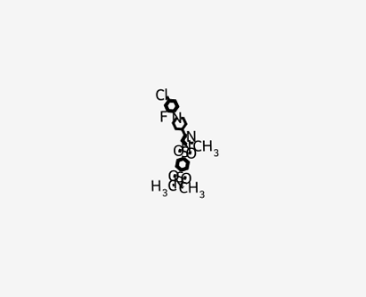 Cc1nc(C2CCN(c3ccc(Cl)cc3F)CC2)cn1S(=O)(=O)c1ccc(S(=O)(=O)N(C)C)cc1